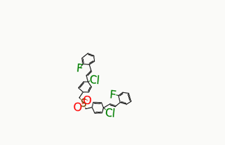 O=S(=O)(CC1C=CC(Cl)(/C=C/c2ccccc2F)C=C1)CC1C=CC(Cl)(/C=C/c2ccccc2F)C=C1